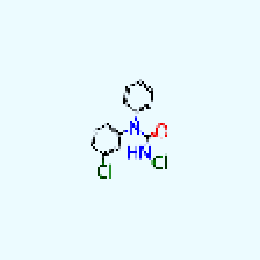 O=C(NCl)N(c1ccccc1)c1cccc(Cl)c1